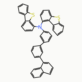 c1cc(-c2cccc(N(c3cccc4c3sc3ccccc34)c3cccc4sc5ccccc5c34)c2)cc(-c2cccc3ccccc23)c1